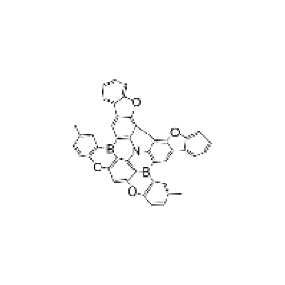 Cc1ccc2c(c1)B1c3c(cc4c5c3-n3c6c1cc1c7ccccc7oc1c6c1c6oc7ccccc7c6cc(c13)B5c1cc(C)ccc1O4)O2